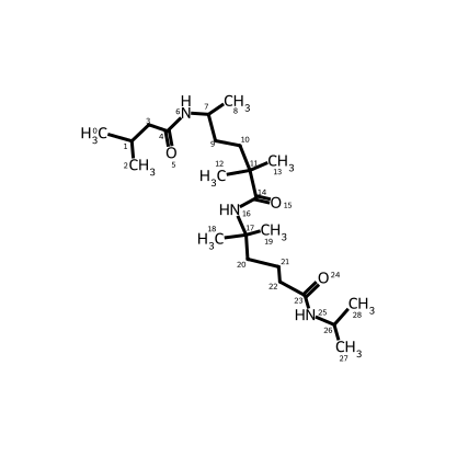 CC(C)CC(=O)NC(C)CCC(C)(C)C(=O)NC(C)(C)CCCC(=O)NC(C)C